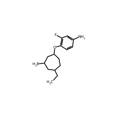 BC1CC(CC)CCC(Oc2ccc(N)cc2F)C1